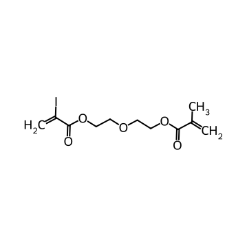 C=C(C)C(=O)OCCOCCOC(=O)C(=C)I